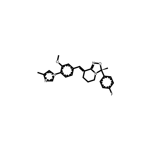 COc1cc(/C=C2\CCCN3C2=NO[C@]3(C)c2ccc(F)cc2)ccc1-n1cnc(C)c1